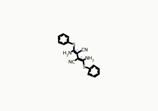 N#CC(=C(/N)Sc1ccccc1)/C(C#N)=C(\N)Sc1ccccc1